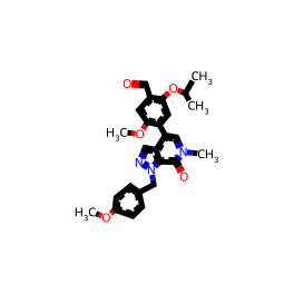 COc1ccc(Cn2ncc3c(-c4cc(OC(C)C)c(C=O)cc4OC)cn(C)c(=O)c32)cc1